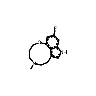 CN1CCCOc2cc(F)cc3[nH]cc(c23)CC1